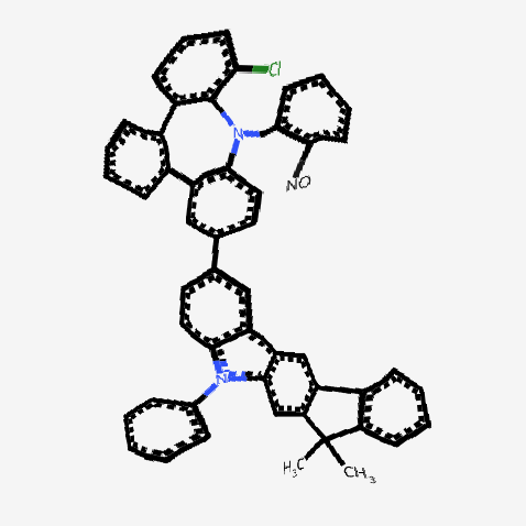 CC1(C)c2ccccc2-c2cc3c4cc(-c5ccc6c(c5)-c5ccccc5-c5cccc(Cl)c5N6c5ccccc5N=O)ccc4n(-c4ccccc4)c3cc21